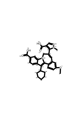 COc1ccc2c(c1)C=C(c1c(C(=O)O)cnn1C)Cn1c-2c(C2CCCCC2)c2ccc(C(=O)O)cc21